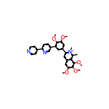 COc1cc(-c2cc3cc(OC)c(OC)c(OC)c3c(C)[n+]2C)cc(-c2ccc(-c3ccncc3)nc2)c1OC